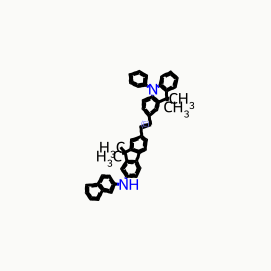 CC1(C)c2cc(/C=C/c3ccc4c(c3)C(C)(C)c3ccccc3N4c3ccccc3)ccc2-c2ccc(Nc3ccc4ccccc4c3)cc21